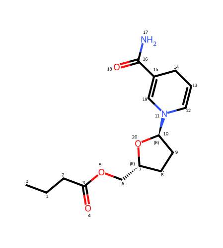 CCCC(=O)OC[C@H]1[CH][CH][C@H](N2C=CCC(C(N)=O)=C2)O1